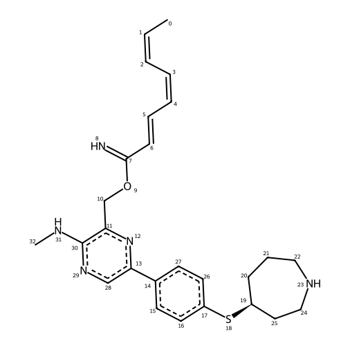 C\C=C/C=C\C=C\C(=N)OCc1nc(-c2ccc(S[C@H]3CCCNCC3)cc2)cnc1NC